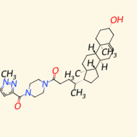 CC(CCC(=O)N1CCN(C(=O)c2ccn(C)n2)CC1)[C@H]1CC[C@H]2[C@@H]3CC=C4C[C@@H](O)CC[C@]4(C)[C@H]3CC[C@]12C